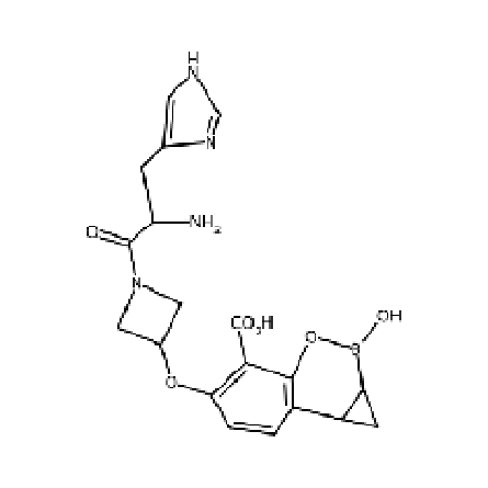 NC(Cc1c[nH]cn1)C(=O)N1CC(Oc2ccc3c(c2C(=O)O)OB(O)C2CC32)C1